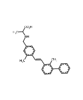 Cc1cc(CNC(C)C(=O)O)ccc1C=Cc1cccc(-c2ccccc2)c1C